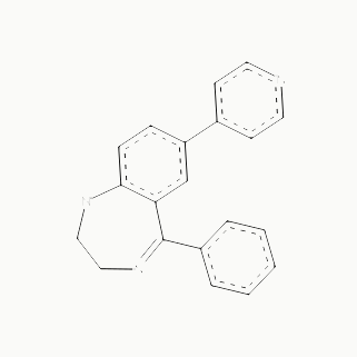 c1ccc(C2=NCCNc3ccc(-c4ccncc4)cc32)cc1